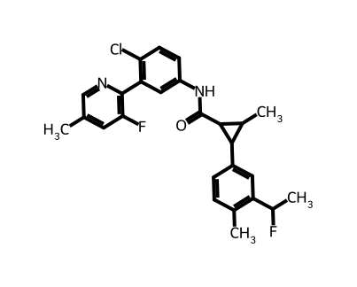 Cc1cnc(-c2cc(NC(=O)C3C(C)C3c3ccc(C)c(C(C)F)c3)ccc2Cl)c(F)c1